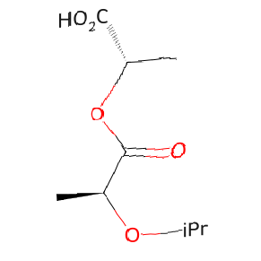 CC(C)O[C@@H](C)C(=O)O[C@@H](C)C(=O)O